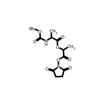 CC(NC(=O)OC(C)(C)C)C(=O)OC(C)C(=O)ON1C(=O)CCC1=O